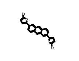 CCc1ccc(-c2ccc3cc4cc(-c5ccc(CC)s5)ccc4cc3c2)s1